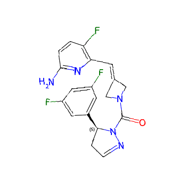 Nc1ccc(F)c(C=C2CN(C(=O)N3N=CC[C@H]3c3cc(F)cc(F)c3)C2)n1